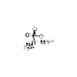 O=P([O-])([O-])[O-].[Fe+2].[Mn+2].[Na+]